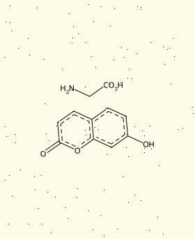 NCC(=O)O.O=c1ccc2ccc(O)cc2o1